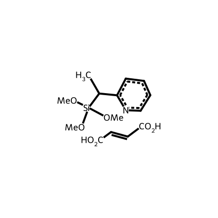 CO[Si](OC)(OC)C(C)c1ccccn1.O=C(O)C=CC(=O)O